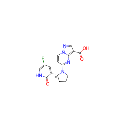 O=C(O)c1cnn2ccc(N3CCC[C@@H]3c3cc(F)c[nH]c3=O)nc12